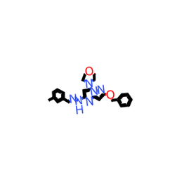 Cc1cccc(C=NNc2cc(N3CCOCC3)n3nc(OCc4ccccc4)cc3n2)c1